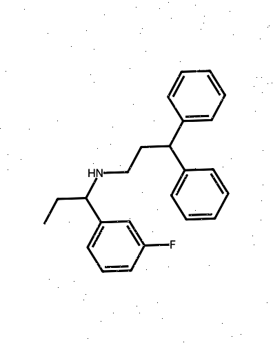 CCC(NCCC(c1ccccc1)c1ccccc1)c1cccc(F)c1